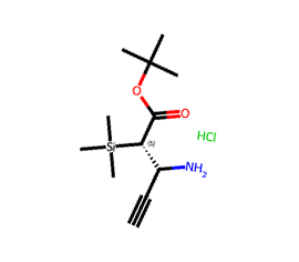 C#CC(N)[C@@H](C(=O)OC(C)(C)C)[Si](C)(C)C.Cl